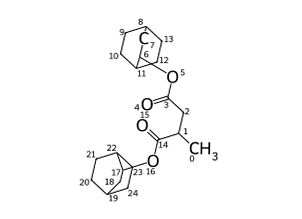 CC(CC(=O)OC1CC2CCC1CC2)C(=O)OC1CC2CCC1CC2